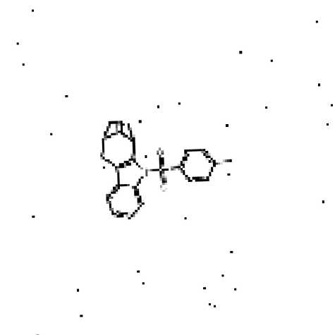 Cc1ccc(S(=O)(=O)n2c3c(c4ccccc42)CC2CCC3N2)cc1